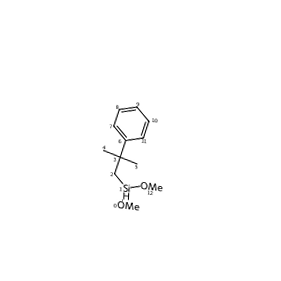 CO[SiH](CC(C)(C)c1ccccc1)OC